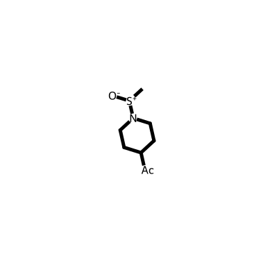 CC(=O)C1CCN([S+](C)[O-])CC1